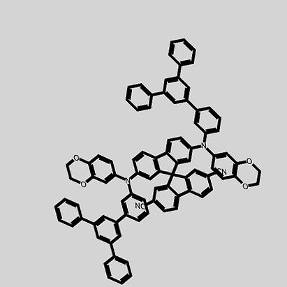 N#Cc1ccc2c(c1)C1(c3cc(C#N)ccc3-2)c2cc(N(c3cccc(-c4cc(-c5ccccc5)cc(-c5ccccc5)c4)c3)c3ccc4c(c3)OCCO4)ccc2-c2ccc(N(c3cccc(-c4cc(-c5ccccc5)cc(-c5ccccc5)c4)c3)c3ccc4c(c3)OCCO4)cc21